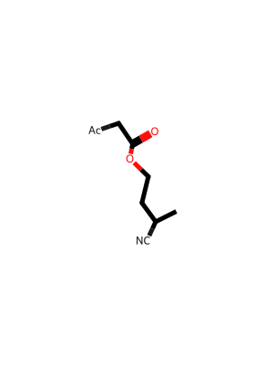 CC(=O)CC(=O)OCCC(C)C#N